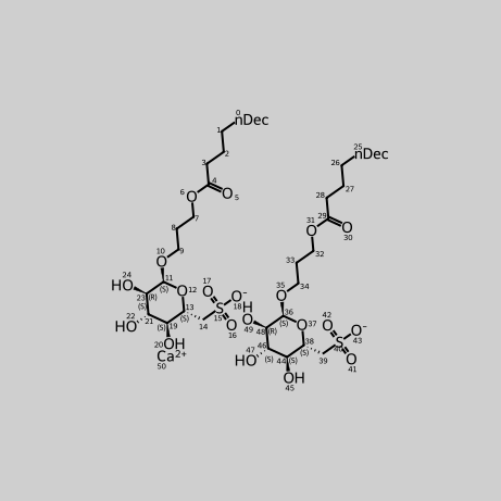 CCCCCCCCCCCCCC(=O)OCCCO[C@H]1O[C@H](CS(=O)(=O)[O-])[C@@H](O)[C@H](O)[C@H]1O.CCCCCCCCCCCCCC(=O)OCCCO[C@H]1O[C@H](CS(=O)(=O)[O-])[C@@H](O)[C@H](O)[C@H]1O.[Ca+2]